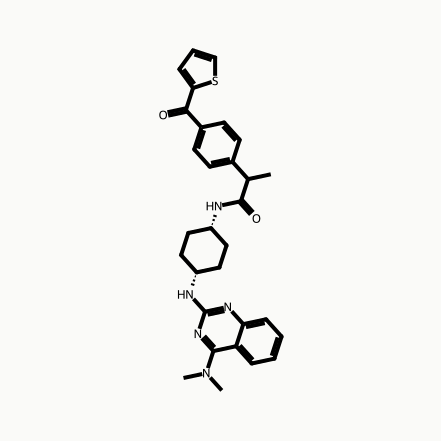 CC(C(=O)N[C@H]1CC[C@@H](Nc2nc(N(C)C)c3ccccc3n2)CC1)c1ccc(C(=O)c2cccs2)cc1